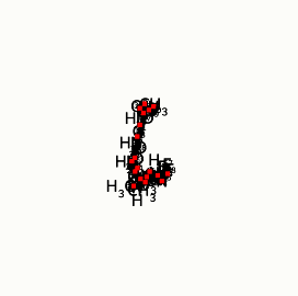 CN1C(=O)C[C@H](C(=O)NCCCOCCCNC(=O)CCCC(=O)NC2CCC(C(=O)N[C@@H]3C[C@H](NC(C)(C)C)CC[C@@H]3N3CC[C@H](Nc4ncnc5ccc(C(F)(F)F)cc45)C3=O)CC2)[C@H]1c1cccnc1